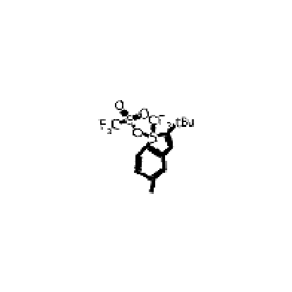 Cc1ccc2c(c1)C=C(C(C)(C)C)S2(OS(=O)(=O)C(F)(F)F)C(F)(F)F